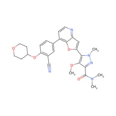 COc1c(C(=O)N(C)C)nn(C)c1-c1cc2nccc(-c3ccc(OC4CCOCC4)c(C#N)c3)c2o1